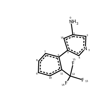 Nc1cncc(-c2ccccc2C(F)(F)F)c1